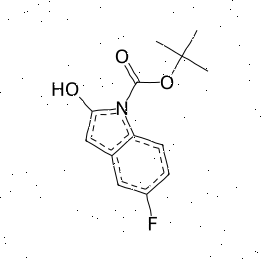 CC(C)(C)OC(=O)n1c(O)cc2cc(F)ccc21